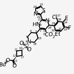 CCOC(=O)C1=C(C2CCN(S(=O)(=O)[C@H]3C[C@H](C(=O)OC(C)(C)C)C3)CC2)NC(c2nccs2)=NC1c1ccc(F)c(F)c1Cl